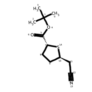 CC(C)(C)OC(=O)[C@H]1CC[C@H](CC#N)S1